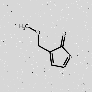 COCC1=CC=NC1=O